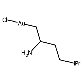 CC(C)CCC(N)[CH2][Au][Cl]